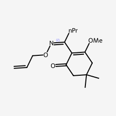 C=CCO/N=C(/CCC)C1=C(OC)CC(C)(C)CC1=O